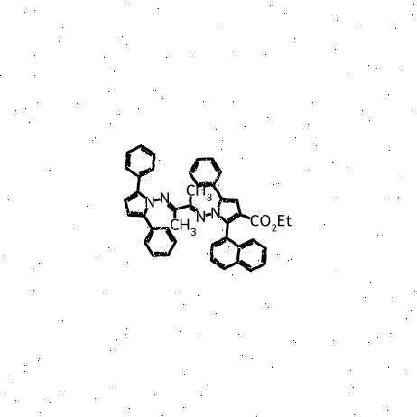 CCOC(=O)c1cc(-c2ccccc2)n(/N=C(C)/C(C)=N/n2c(-c3ccccc3)ccc2-c2ccccc2)c1-c1cccc2ccccc12